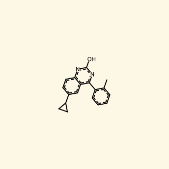 Cc1ccccc1-c1nc(O)nc2ccc(C3CC3)cc12